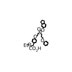 CCOC(Cc1ccc(OCCN(CCCOc2ccccc2)C(=O)Oc2ccc3c(c2)CCC3)cc1)C(=O)O